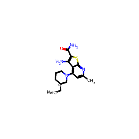 COC[C@H]1CCCN(c2cc(C)nc3sc(C(N)=O)c(N)c23)C1